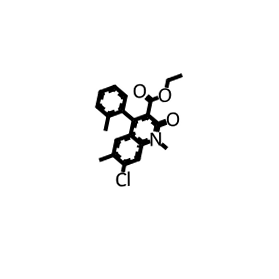 CCOC(=O)c1c(-c2ccccc2C)c2cc(C)c(Cl)cc2n(C)c1=O